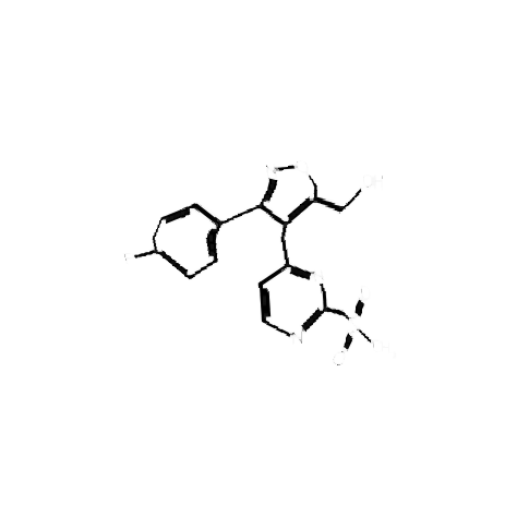 CS(=O)(=O)c1nccc(-c2c(-c3ccc(F)cc3)noc2CO)n1